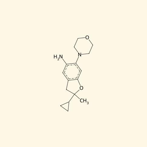 CC1(C2CC2)Cc2cc(N)c(N3CCOCC3)cc2O1